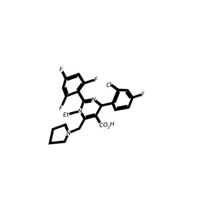 CCN1C(c2c(F)cc(F)cc2F)=NC(c2ccc(F)cc2Cl)C(C(=O)O)=C1CN1CCCC1